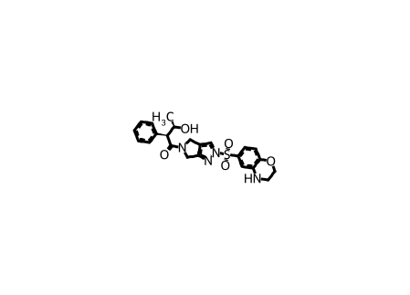 C[C@@H](O)[C@@H](C(=O)N1Cc2cn(S(=O)(=O)c3ccc4c(c3)NCCO4)nc2C1)c1ccccc1